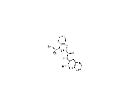 CC(C)C=C(C#N)C(=O)N1CCCC[C@H]1CNC(=O)N[C@@H](Cc1ccccc1)B(O)O